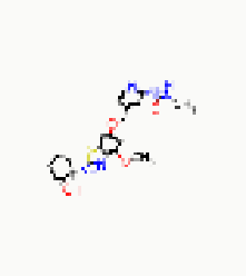 CNC(=O)Nc1cc(COc2cc(OC)c3nc(N[C@H]4CCCC[C@@H]4O)sc3c2)ccn1